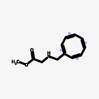 COC(=O)CNCC1=C/C=C\C=C/C=C\1